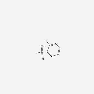 [CH2]c1ccccc1S(C)(=N)=O